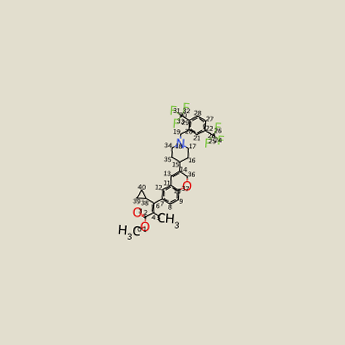 COC(=O)/C(C)=C(/c1ccc2c(c1)C=C(C1CCN(Cc3cc(C(F)(F)F)ccc3C(F)(F)F)CC1)CO2)C1CC1